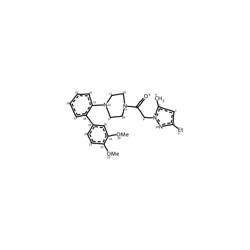 CCc1cc(C)n(CC(=O)N2CCN(c3ccccc3-c3ccc(OC)c(OC)c3)CC2)n1